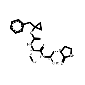 CC(C)C[C@H](NC(=O)OC1(Cc2ccccc2)CC1)C(=O)N[C@H](C=O)C[C@@H]1CCNC1=O